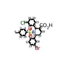 Cc1ccc(S(=O)(=O)N2C(c3cccc(Br)c3)CC=C(C(=O)O)C2c2cccc(Cl)c2)cc1